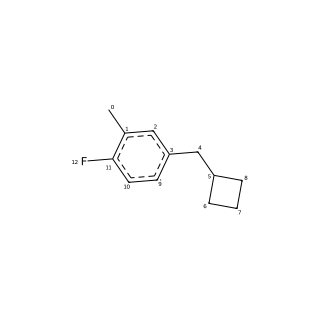 Cc1cc(CC2CCC2)[c]cc1F